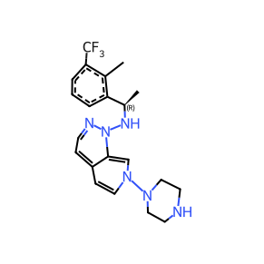 Cc1c([C@@H](C)NN2N=CC=C3C=CN(N4CCNCC4)C=C32)cccc1C(F)(F)F